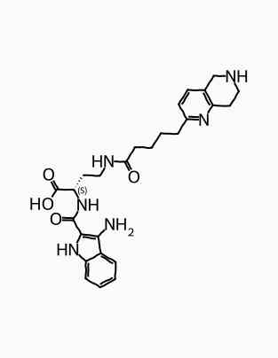 Nc1c(C(=O)N[C@@H](CCNC(=O)CCCCc2ccc3c(n2)CCNC3)C(=O)O)[nH]c2ccccc12